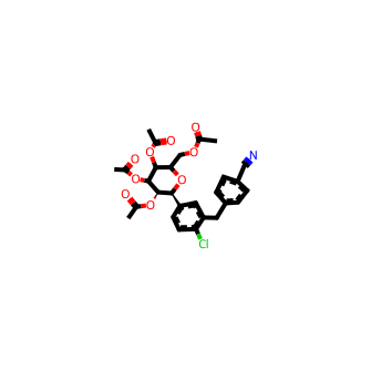 CC(=O)OCC1O[C@@H](c2ccc(Cl)c(Cc3ccc(C#N)cc3)c2)[C@H](OC(C)=O)C(OC(C)=O)C1OC(C)=O